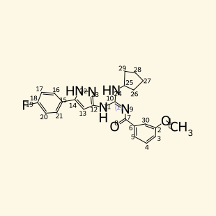 COc1cccc(C(=O)/N=C(\Nc2cc(-c3ccc(F)cc3)[nH]n2)NC2CCCC2)c1